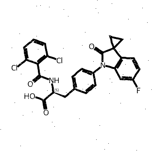 O=C(N[C@@H](Cc1ccc(N2C(=O)C3(CC3)c3ccc(F)cc32)cc1)C(=O)O)c1c(Cl)cccc1Cl